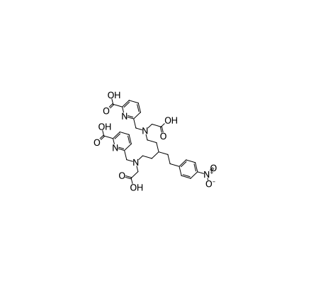 O=C(O)CN(CCC(CCc1ccc([N+](=O)[O-])cc1)CCN(CC(=O)O)Cc1cccc(C(=O)O)n1)Cc1cccc(C(=O)O)n1